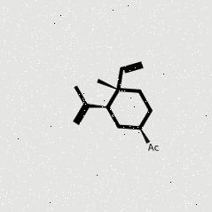 C=C[C@]1(C)CC[C@@H](C(C)=O)C[C@H]1C(=C)C